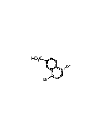 O=C(O)c1ccc2c(c1)c(Br)cc[n+]2[O-]